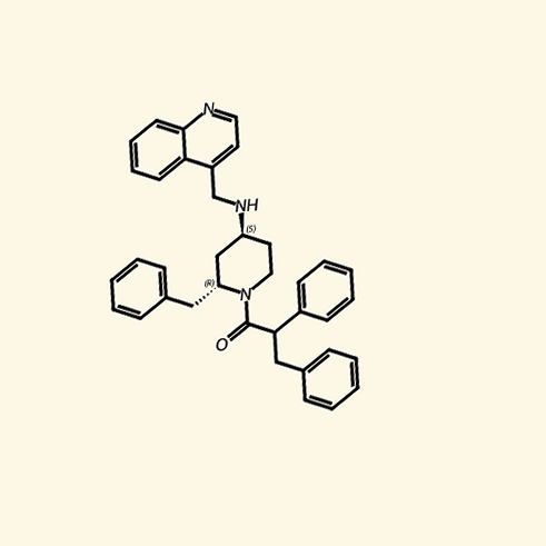 O=C(C(Cc1ccccc1)c1ccccc1)N1CC[C@H](NCc2ccnc3ccccc23)C[C@H]1Cc1ccccc1